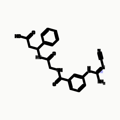 N#C/N=C(/N)Nc1cccc(C(=O)NCC(=O)NC(CC(=O)O)c2ccccc2)c1